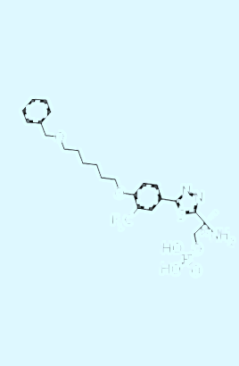 C[C@](N)(COP(=O)(O)O)c1nnc(-c2ccc(OCCCCCCOCc3ccccc3)c(C(F)(F)F)c2)s1